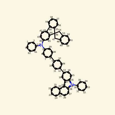 c1ccc(N(c2ccc(-c3ccc(-c4ccc5c(c4)c4c6ccccc6ccc4n5-c4ccccc4)cc3)cc2)c2ccc3c(c2)C2(Cc4ccccc4C2)c2ccccc2-3)cc1